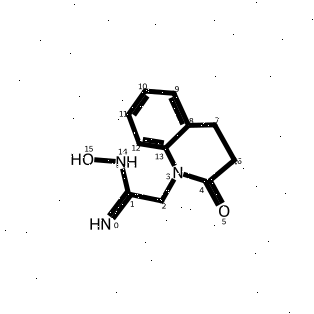 N=C(CN1C(=O)[C]Cc2ccccc21)NO